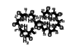 CC(C)[C@H](NC(=O)[C@H](C)NC(=O)[C@H](C)NC(=O)[C@H](C)NC(=O)[C@H](C)NC(=O)[C@H](C)NC(=O)[C@H](C)NC(=O)[C@H](C)NC(=O)[C@H](C)NC(=O)[C@H](C)NC(=O)[C@H](C)N)C(N)=O